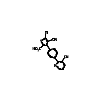 CCc1sc(C(=O)O)c(-c2ccc(-c3ncccc3C#N)cc2)c1C#N